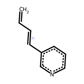 C=C/C=C/c1cccnc1